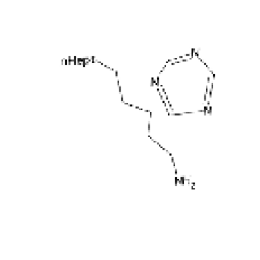 CCCCCCCCCCCCN.c1ncncn1